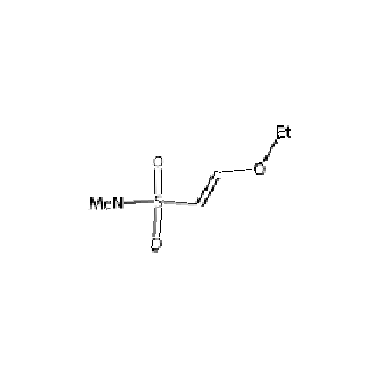 CCOC=CS(=O)(=O)NC